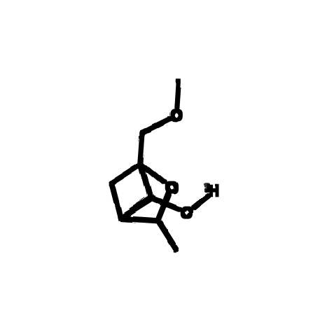 [3H]OC1C2CC1(COC)OC2C